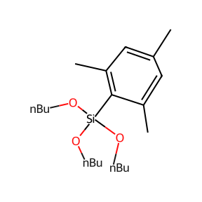 CCCCO[Si](OCCCC)(OCCCC)c1c(C)cc(C)cc1C